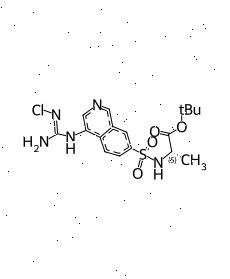 C[C@H](NS(=O)(=O)c1ccc2c(NC(N)=NCl)cncc2c1)C(=O)OC(C)(C)C